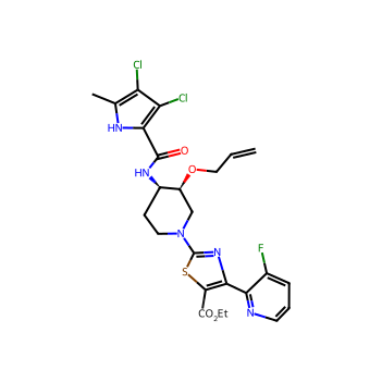 C=CCO[C@H]1CN(c2nc(-c3ncccc3F)c(C(=O)OCC)s2)CC[C@H]1NC(=O)c1[nH]c(C)c(Cl)c1Cl